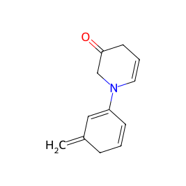 C=C1C=C(N2C=CCC(=O)C2)C=CC1